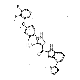 Cc1cc(Oc2cccc(F)c2F)ccc1N1NCC(C(=O)c2cc3c(-c4cccs4)cccc3[nH]2)=C1N